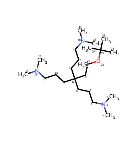 CN(C)CCCC(CCCN(C)C)(CCCN(C)C)C[SiH2]OC(C)(C)C